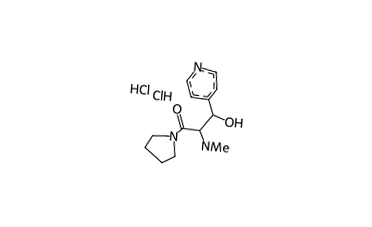 CNC(C(=O)N1CCCC1)C(O)c1ccncc1.Cl.Cl